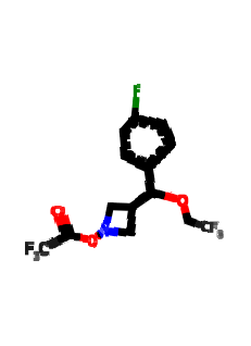 O=C(ON1CC(C(OCC(F)(F)F)c2ccc(F)cc2)C1)C(F)(F)F